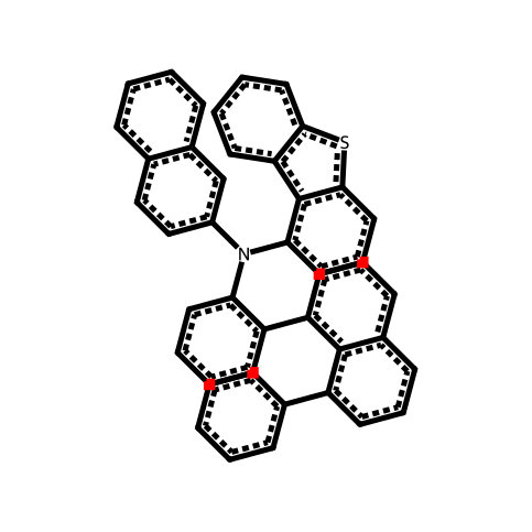 c1ccc(-c2cccc3cccc(-c4ccccc4N(c4ccc5ccccc5c4)c4cccc5sc6ccccc6c45)c23)cc1